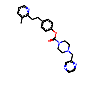 Cc1cccnc1CCc1ccc(OC(=O)N2CCN(Cc3cnccn3)CC2)cc1